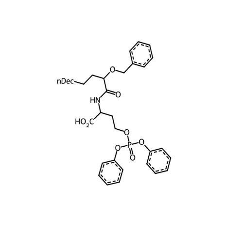 CCCCCCCCCCCCC(OCc1ccccc1)C(=O)NC(CCOP(=O)(Oc1ccccc1)Oc1ccccc1)C(=O)O